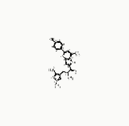 Cc1nn(C)cc1CN(C)C(=O)c1cc2nc(-c3ccc(Cl)cc3)cc(C(F)(F)F)n2n1